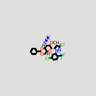 CO[C@@H]1[C@@H](N=[N+]=[N-])[C@H]2OC(c3ccccc3)OC[C@H]2O[C@H]1c1cc(Cl)nn1-c1cc(Cl)ccc1C(F)(F)F